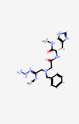 C=N/C(CN(CC(=O)N[C@@H](Cc1c[nH]cn1)C(=O)NC)Cc1ccccc1)=N\NN